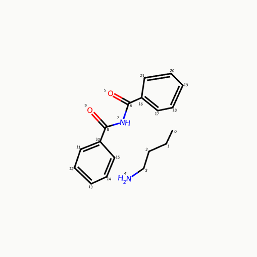 CCCCN.O=C(NC(=O)c1ccccc1)c1ccccc1